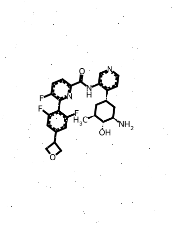 C[C@H]1C[C@@H](c2ccncc2NC(=O)c2ccc(F)c(-c3c(F)cc(C4COC4)cc3F)n2)C[C@@H](N)[C@@H]1O